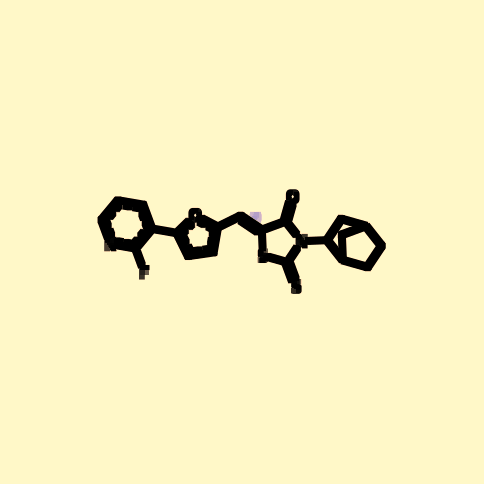 O=C1/C(=C/c2ccc(-c3cccnc3F)o2)SC(=S)N1C1CC2CCC1C2